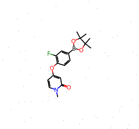 Cn1ccc(Oc2ccc(B3OC(C)(C)C(C)(C)O3)cc2F)cc1=O